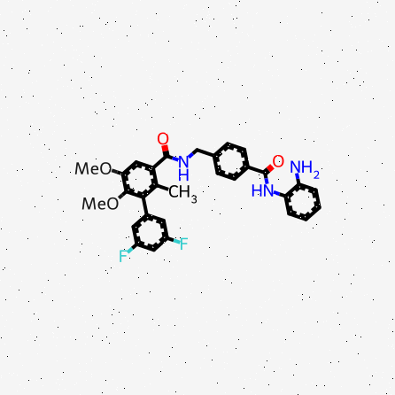 COc1cc(C(=O)NCc2ccc(C(=O)Nc3ccccc3N)cc2)c(C)c(-c2cc(F)cc(F)c2)c1OC